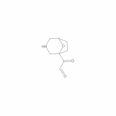 O=CC(=O)C12CCC(CNC1)O2